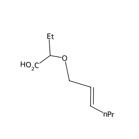 CCC/C=C/COC(CC)C(=O)O